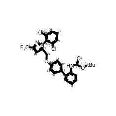 CC(C)(C)OC(=O)Nc1ccccc1-c1ccc(OCc2cc(C(F)(F)F)nn2-c2c(Cl)cccc2Cl)cc1